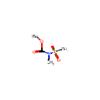 CN(C(=O)OC(C)(C)C)S(C)(=O)=O